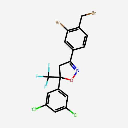 FC(F)(F)C1(c2cc(Cl)cc(Cl)c2)CC(c2ccc(CBr)c(Br)c2)=NO1